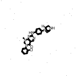 CN1CN(c2ccccc2Cl)C(=O)c2cnc(Nc3ccc(N4CC5C[C@H]4CN5)cc3)nc21